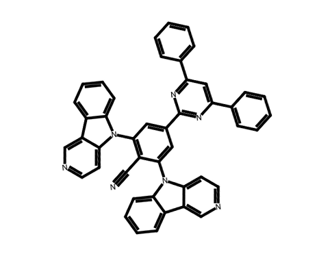 N#Cc1c(-n2c3ccccc3c3cnccc32)cc(-c2nc(-c3ccccc3)cc(-c3ccccc3)n2)cc1-n1c2ccccc2c2cnccc21